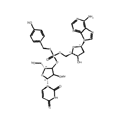 COC1C(OP(=O)(OC[C@H]2O[C@@H](n3cnc4c(N)ncnc43)CC2O)SCc2ccc(O)cc2)[C@@H](CO)O[C@H]1n1ccc(=O)[nH]c1=O